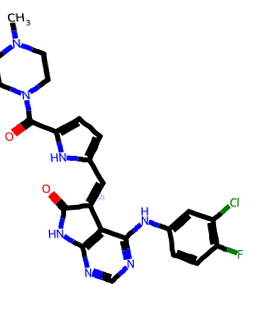 CN1CCN(C(=O)c2ccc(/C=C3\C(=O)Nc4ncnc(Nc5ccc(F)c(Cl)c5)c43)[nH]2)CC1